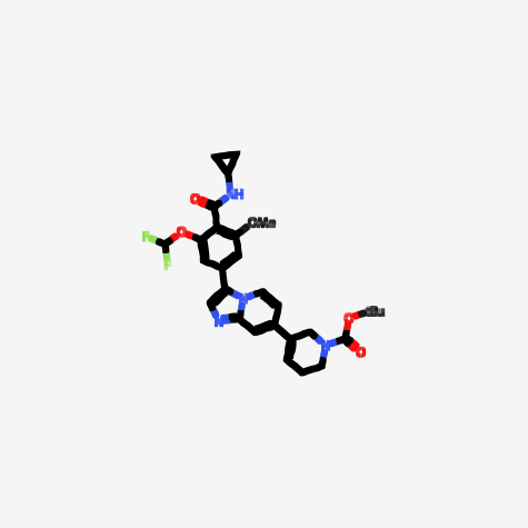 COc1cc(-c2cnc3cc(C4=CCCN(C(=O)OC(C)(C)C)C4)ccn23)cc(OC(F)F)c1C(=O)NC1CC1